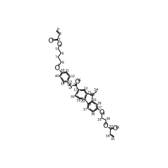 C=CC(=O)OCCCCOc1ccc(SC(=O)c2ccc3c(c2)[C@@H](C)c2cc(OCCOC(=O)C=C)ccc2-3)cc1